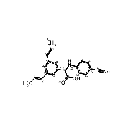 CC=Cc1cc(C=CC)cc(C(Nc2ccc(C#N)cc2)C(=O)O)c1